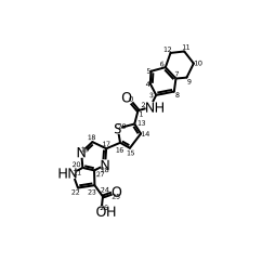 O=C(Nc1ccc2c(c1)CCCC2)c1ccc(-c2cnc3[nH]cc(C(=O)O)c3n2)s1